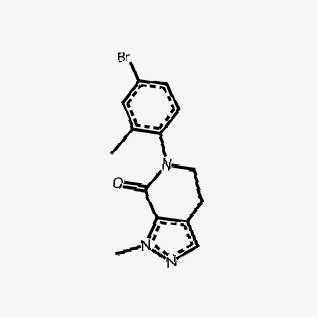 Cc1cc(Br)ccc1N1CCc2cnn(C)c2C1=O